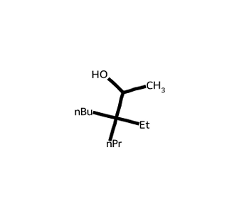 CCCCC(CC)(CCC)C(C)O